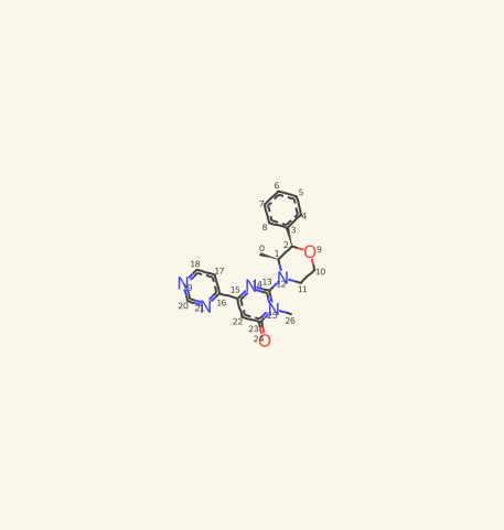 C[C@H]1[C@@H](c2ccccc2)OCCN1c1nc(-c2ccncn2)cc(=O)n1C